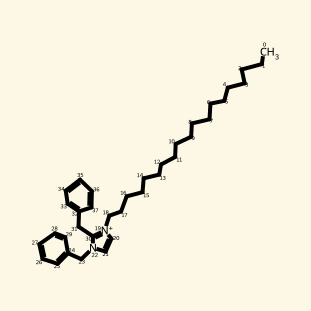 CCCCCCCCCCCCCCCCCCC[n+]1ccn(Cc2ccccc2)c1Cc1ccccc1